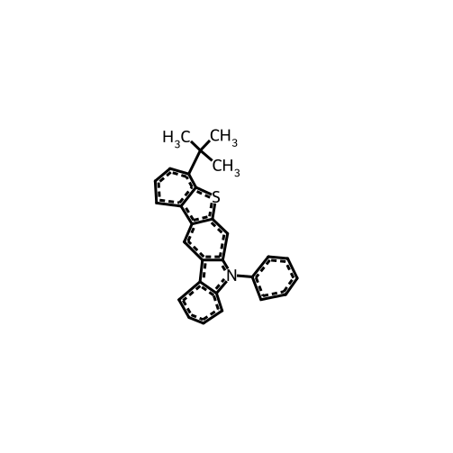 CC(C)(C)c1cccc2c1sc1cc3c(cc12)c1ccccc1n3-c1ccccc1